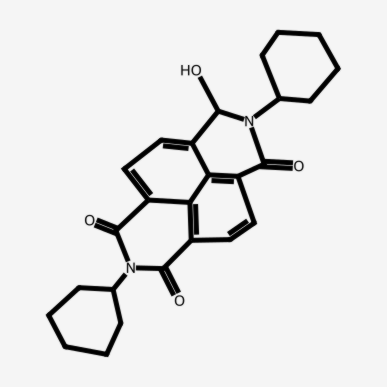 O=C1c2ccc3c4c(ccc(c24)C(=O)N1C1CCCCC1)C(O)N(C1CCCCC1)C3=O